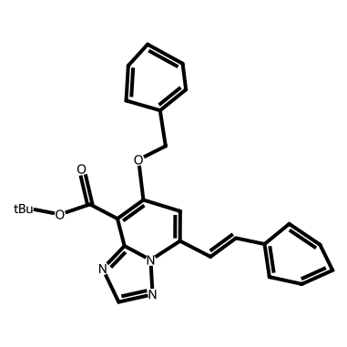 CC(C)(C)OC(=O)c1c(OCc2ccccc2)cc(C=Cc2ccccc2)n2ncnc12